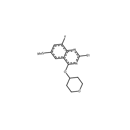 CCc1nc(OC2CCOCC2)c2cc(SC)cc(F)c2n1